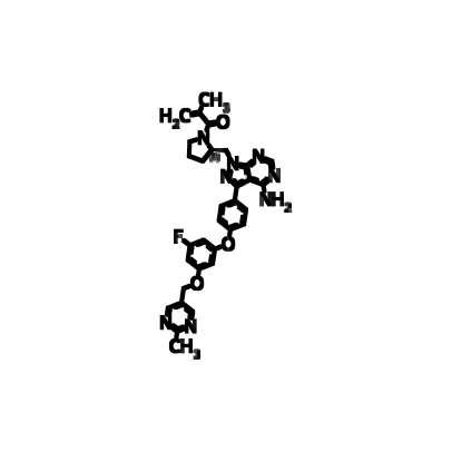 C=C(C)C(=O)N1CCC[C@@H]1Cn1nc(-c2ccc(Oc3cc(F)cc(OCc4cnc(C)nc4)c3)cc2)c2c(N)ncnc21